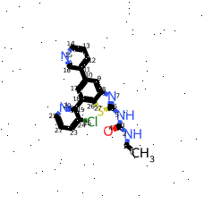 CCNC(=O)Nc1nc2cc(-c3cccnc3)cc(-c3ncccc3Cl)c2s1